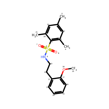 Cc1cc(C)c(S(=O)(=O)NCCc2ccccc2OC(F)(F)F)c(C)c1